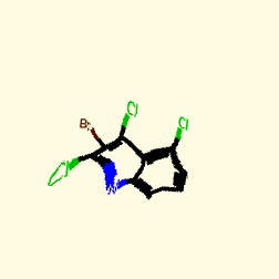 Clc1nc2cccc(Cl)c2c(Cl)c1Br